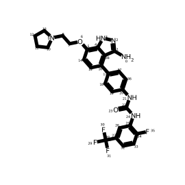 Nc1n[nH]c2c(OCCN3CCCC3)ccc(-c3ccc(NC(=O)Nc4cc(C(F)(F)F)ccc4F)cc3)c12